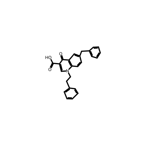 O=C(O)c1cn(CCc2ccccc2)c2ccc(Cc3ccccc3)cc2c1=O